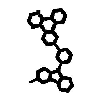 Cc1ccc2c(c1)c1ccccc1n2-c1cccc(-c2ccc3c(c2)c2ccccc2c2nccnc32)c1